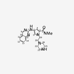 CNC(=O)c1cc(Nc2ncc3ccccc3n2)cn1CCN1CCNCC1